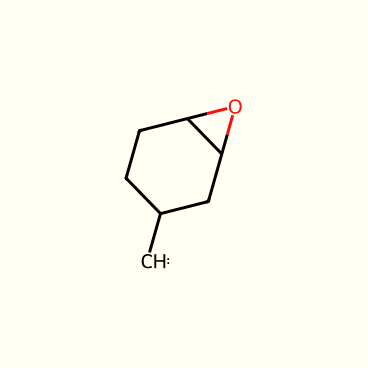 [CH]C1CCC2OC2C1